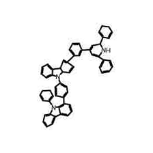 C1=CC(C2C=C(c3cccc(C4=CC5c6ccccc6N(c6ccc(-c7cccc8c9ccccc9n(C9=CCCC=C9)c78)cc6)C5C=C4)c3)C=C(c3ccccc3)N2)=CCC1